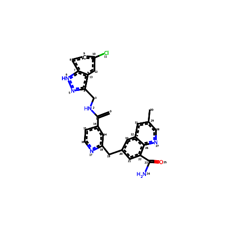 C=C(NCc1n[nH]c2ccc(Cl)cc12)c1ccnc(Cc2cc(C(N)=O)c3ncc(C)cc3c2)c1